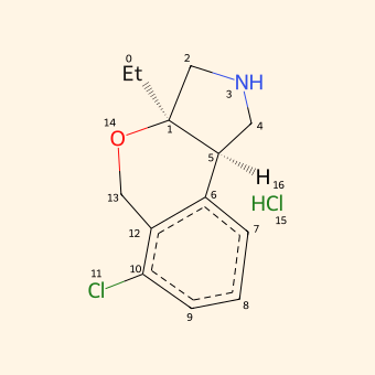 CC[C@]12CNC[C@H]1c1cccc(Cl)c1CO2.Cl